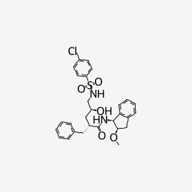 CO[C@@H]1Cc2ccccc2[C@@H]1NC(=O)[C@H](Cc1ccccc1)C[C@H](O)CNS(=O)(=O)c1ccc(Cl)cc1